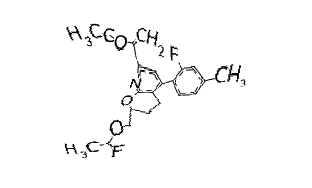 C=C(OCC)c1cc(-c2ccc(C)cc2F)c2c(n1)OC(COC(C)F)CC2